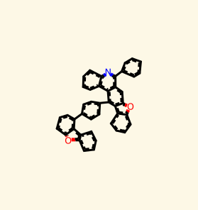 c1ccc(-c2nc3ccccc3c3c(-c4ccc(-c5cccc6oc7ccccc7c56)cc4)c4c(cc23)oc2ccccc24)cc1